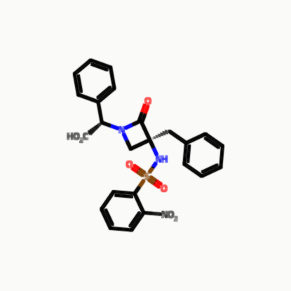 O=C(O)[C@@H](c1ccccc1)N1C[C@](Cc2ccccc2)(NS(=O)(=O)c2ccccc2[N+](=O)[O-])C1=O